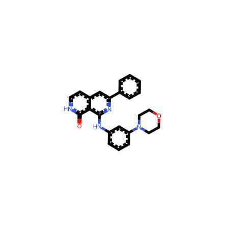 O=c1[nH]ccc2cc(-c3ccccc3)nc(Nc3cccc(N4CCOCC4)c3)c12